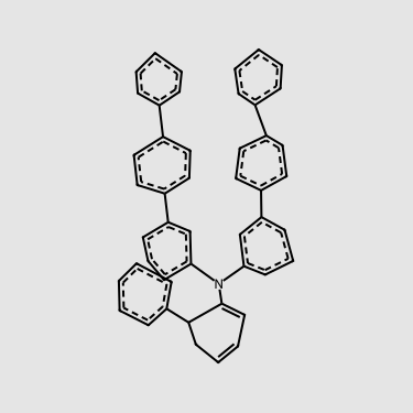 C1=CCC(c2ccccc2)C(N(c2cccc(-c3ccc(-c4ccccc4)cc3)c2)c2cccc(-c3ccc(-c4ccccc4)cc3)c2)=C1